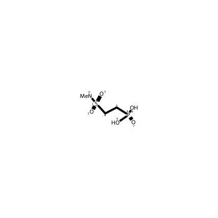 CNS(=O)(=O)CCP(=O)(O)O